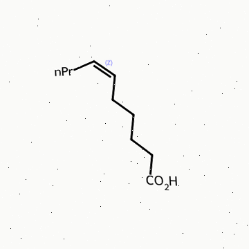 CCC/C=C\CCCCC(=O)O